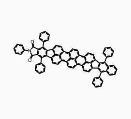 O=C1c2c(c(-c3ccccc3)c3c(c2-c2ccccc2)-c2ccc4c5ccc6c7ccc8c9c(ccc(c%10ccc(c%11ccc-3c2c4%11)c5c6%10)c97)-c2c-8c(-c3ccccc3)c3ccccc3c2-c2ccccc2)C(=O)N1c1ccccc1